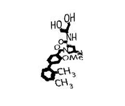 CON=C1C[C@@H](C(=O)NC(CO)CO)N(C(=O)c2ccc(-c3cccc(C)c3C)cc2)C1